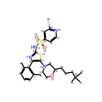 Cc1cccc(C)c1-c1nc(NS(=O)(=O)c2ccnc(F)c2)sc1N1CCOC(CCCC(C)(C)C)C1